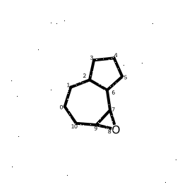 C1CC2CCCC2C2OC2C1